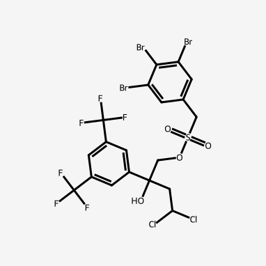 O=S(=O)(Cc1cc(Br)c(Br)c(Br)c1)OCC(O)(CC(Cl)Cl)c1cc(C(F)(F)F)cc(C(F)(F)F)c1